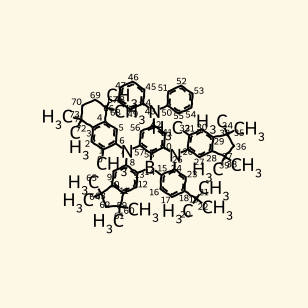 Cc1cc2c(cc1N1c3cc4c(cc3B3c5ccc(C(C)(C)C)cc5N(c5cc6c(cc5C)C(C)(C)CC6(C)C)c5cc(N(c6ccccc6)c6ccccc6)cc1c53)C(C)(C)CC4(C)C)C(C)(C)CCC2(C)C